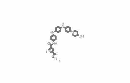 COC(=O)c1cc(C(=O)Nc2ccc(Nc3ccc(Nc4ccc(N5CCC(O)CC5)cc4)cc3)cc2)c[nH]1